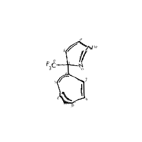 FC(F)(F)C1(c2cc[c]cc2)C=CN=N1